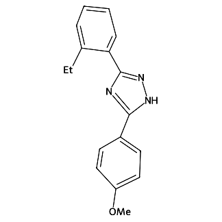 CCc1ccccc1-c1n[nH]c(-c2ccc(OC)cc2)n1